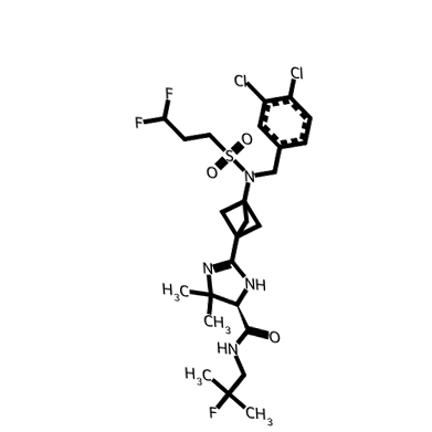 CC(C)(F)CNC(=O)[C@@H]1NC(C23CC(N(Cc4ccc(Cl)c(Cl)c4)S(=O)(=O)CCC(F)F)(C2)C3)=NC1(C)C